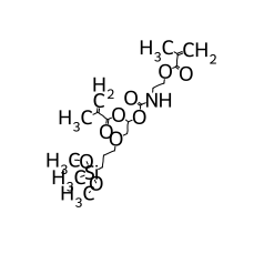 C=C(C)C(=O)OCCNC(=O)OC(COCCC[Si](C)(OC)OC)OC(=O)C(=C)C